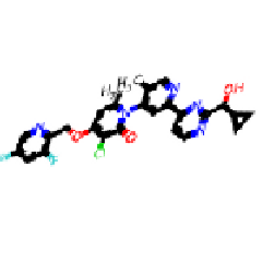 Cc1cnc(-c2ccnc(C(O)C3CC3)n2)cc1-n1c(C)cc(OCc2ncc(F)cc2F)c(Cl)c1=O